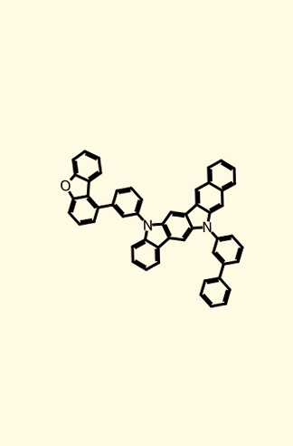 c1ccc(-c2cccc(-n3c4cc5ccccc5cc4c4cc5c(cc43)c3ccccc3n5-c3cccc(-c4cccc5oc6ccccc6c45)c3)c2)cc1